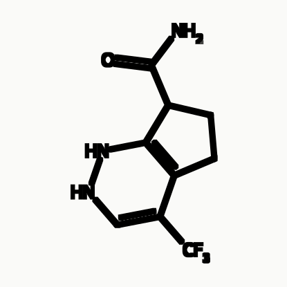 NC(=O)C1CCC2=C1NNC=C2C(F)(F)F